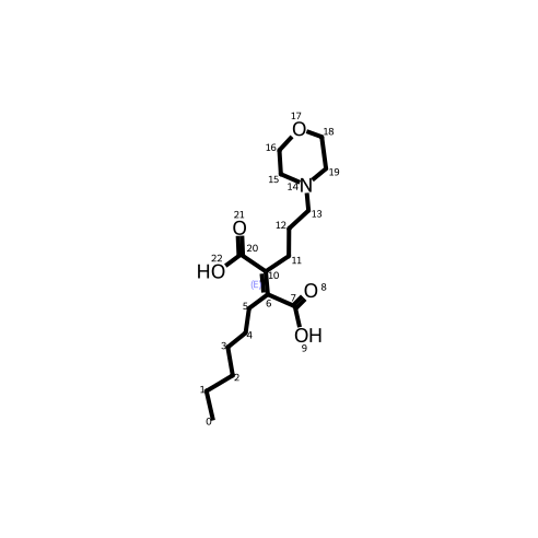 CCCCCC/C(C(=O)O)=C(/CCCN1CCOCC1)C(=O)O